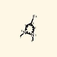 Cn1cc(F)c[n+]1C